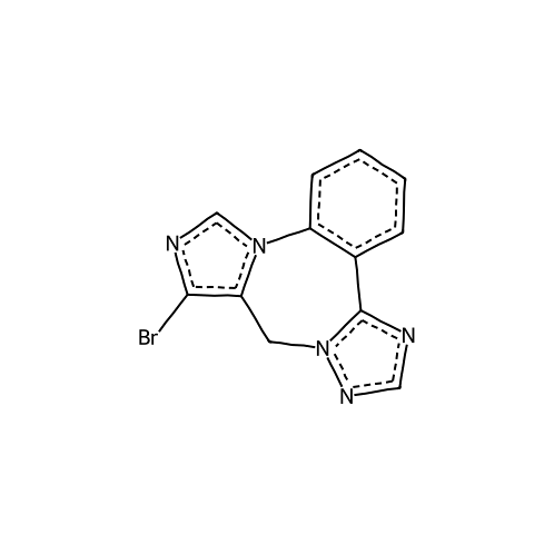 Brc1ncn2c1Cn1ncnc1-c1ccccc1-2